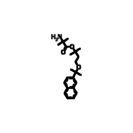 CC(C)(CCOC(C)(C)c1ccc2ccccc2c1)OC(=O)C(C)(C)N